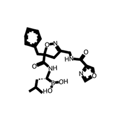 CC(C)C[C@H](NC(=O)C1(Cc2ccccc2)CC(CNC(=O)c2cocn2)=NO1)B(O)O